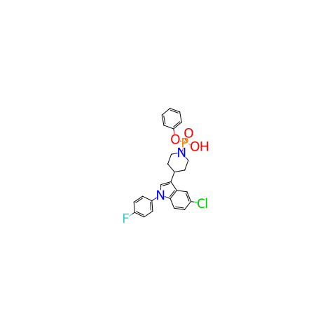 O=P(O)(Oc1ccccc1)N1CCC(c2cn(-c3ccc(F)cc3)c3ccc(Cl)cc23)CC1